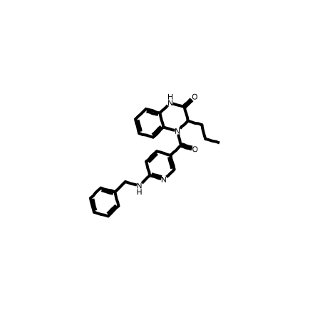 CCCC1C(=O)Nc2ccccc2N1C(=O)c1ccc(NCc2ccccc2)nc1